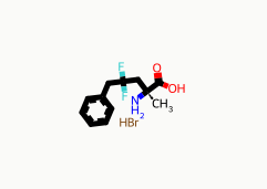 Br.C[C@](N)(CC(F)(F)Cc1ccccc1)C(=O)O